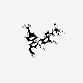 C#CCC1CCN(Cc2c(OC)cc(C)c3c2ccn3C(=O)OC(C)(C)C)[C@H](c2ccc(C(=O)OC)cc2)C1